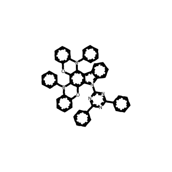 c1ccc(B2c3ccccc3Oc3c2c2c(c4c5ccccc5n(-c5nc(-c6ccccc6)nc(-c6ccccc6)n5)c34)B(c3ccccc3)c3ccccc3O2)cc1